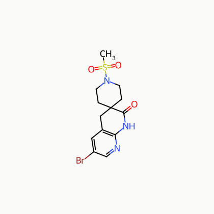 CS(=O)(=O)N1CCC2(CC1)Cc1cc(Br)cnc1NC2=O